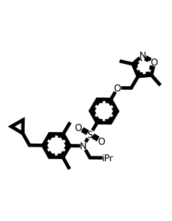 Cc1cc(CC2CC2)cc(C)c1N(CC(C)C)S(=O)(=O)c1ccc(OCc2c(C)noc2C)cc1